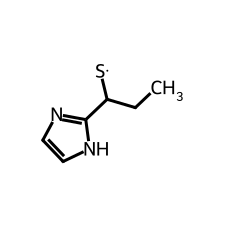 CCC([S])c1ncc[nH]1